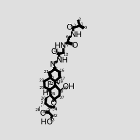 C=C(C)C(=O)NCC(=O)NCC(=O)N/N=C1\C=C[C@@]2(C)C(=C1)CC[C@H]1[C@H](C[C@@H](C)[C@]3(C(=O)CO)CO3)CC[C@H](O)[C@@]12F